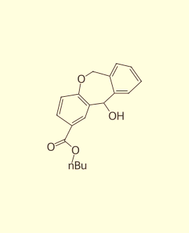 CCCCOC(=O)c1ccc2c(c1)C(O)c1ccccc1CO2